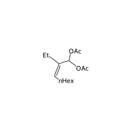 CCCCCCC=C(CC)C(OC(C)=O)OC(C)=O